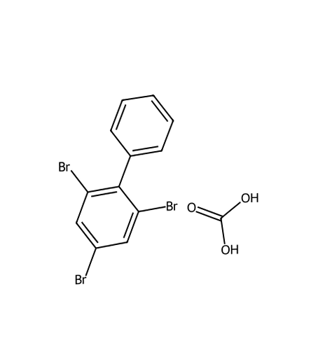 Brc1cc(Br)c(-c2ccccc2)c(Br)c1.O=C(O)O